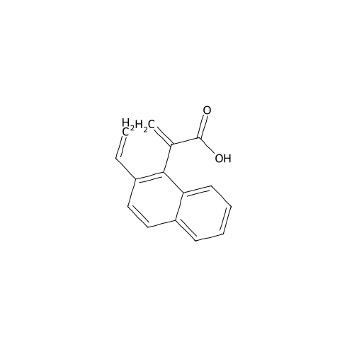 C=Cc1ccc2ccccc2c1C(=C)C(=O)O